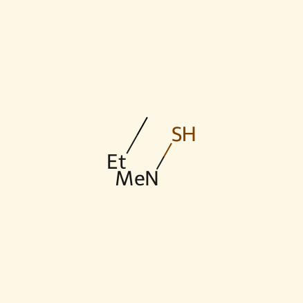 CCC.CNS